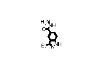 CCc1n[nH]c2ccc(C(=O)NN)cc12